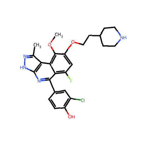 COc1c(OCCC2CCNCC2)cc(F)c2c(-c3ccc(O)c(Cl)c3)nc3[nH]nc(C)c3c12